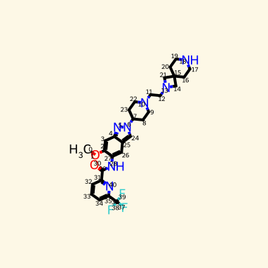 COc1cc2nn(C3CCN(CCN4CC5(CCNCC5)C4)CC3)cc2cc1NC(=O)c1cccc(C(F)(F)F)n1